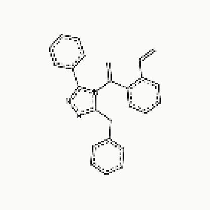 C=Cc1ccccc1C(=C)n1c(Cc2ccccc2)nnc1-c1ccccc1